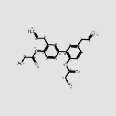 C=CCc1ccc(OC(=O)CC(C)=O)c(-c2ccc(OC(=O)CC(C)=O)c(CC=C)c2)c1